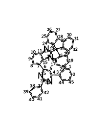 c1ccc(-c2cc(-c3cccc4nc5n(c34)-c3ccccc3C53c4ccccc4-c4ccccc43)nc(-c3ccccc3)n2)cc1